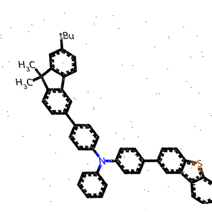 CC(C)(C)c1ccc2c(c1)C(C)(C)c1ccc(-c3ccc(N(c4ccccc4)c4ccc(-c5ccc6sc7ccccc7c6c5)cc4)cc3)cc1-2